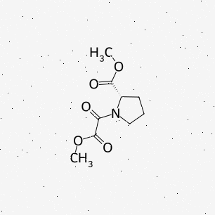 COC(=O)C(=O)N1CCC[C@H]1C(=O)OC